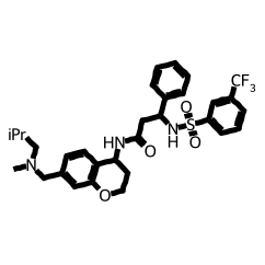 CC(C)CN(C)Cc1ccc2c(c1)OCCC2NC(=O)CC(NS(=O)(=O)c1cccc(C(F)(F)F)c1)c1ccccc1